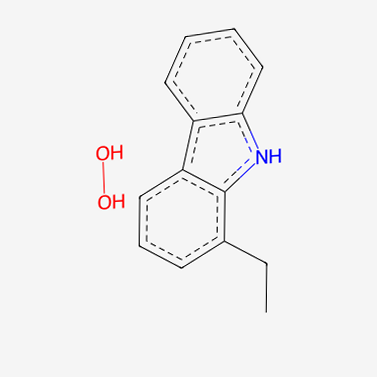 CCc1cccc2c1[nH]c1ccccc12.OO